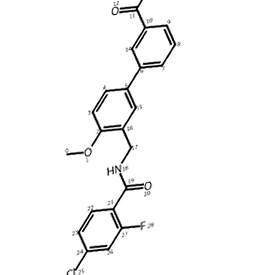 COc1ccc(-c2cccc(C(=O)O)c2)cc1CNC(=O)c1ccc(Cl)cc1F